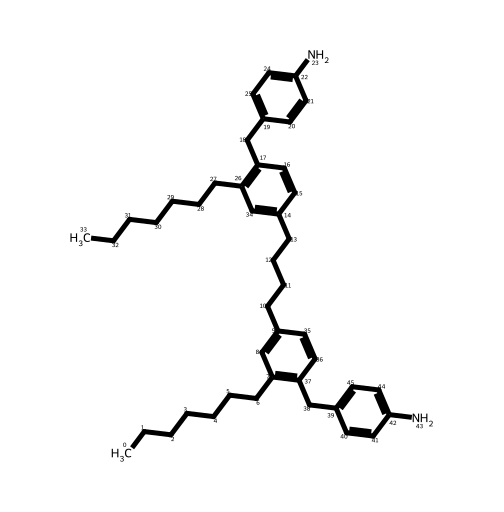 CCCCCCCc1cc(CCCCc2ccc(Cc3ccc(N)cc3)c(CCCCCCC)c2)ccc1Cc1ccc(N)cc1